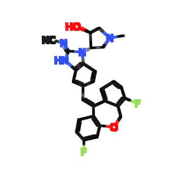 CN1C[C@H](O)[C@@H](n2c(=NC#N)[nH]c3cc(C=C4c5ccc(F)cc5OCc5c(F)cccc54)ccc32)C1